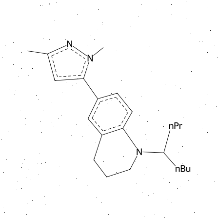 CCCCC(CCC)N1CCCc2cc(-c3cc(C)nn3C)ccc21